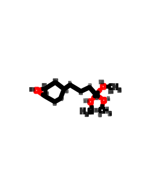 COC(CCCC1CCC2OC2C1)(OC)O[SiH3]